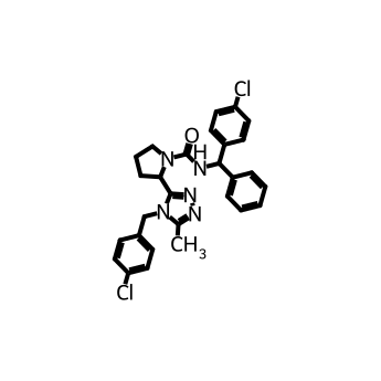 Cc1nnc(C2CCCN2C(=O)NC(c2ccccc2)c2ccc(Cl)cc2)n1Cc1ccc(Cl)cc1